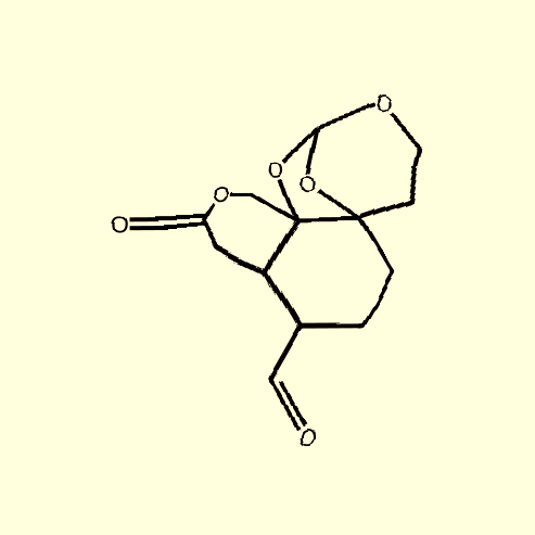 O=CC1CCC23CCOC(O2)OC32COC(=O)CC12